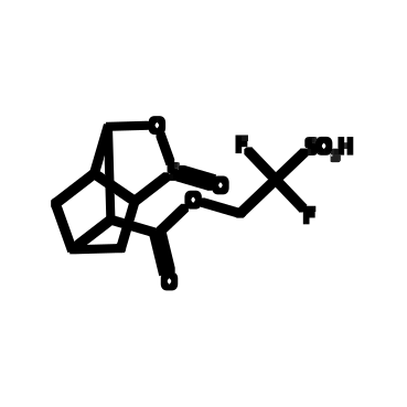 O=C(OCC(F)(F)S(=O)(=O)O)C1C2CC3C1OS(=O)C3C2